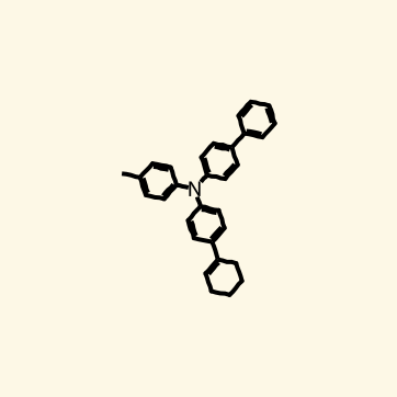 Cc1ccc(N(c2ccc(C3=CCCCC3)cc2)c2ccc(-c3ccccc3)cc2)cc1